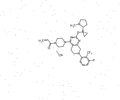 C=CC(=O)N1CCN(c2nc(OC3([C@@H]4CCCN4C)CC3)nc3c2CCN(c2cccc(F)c2C(F)(F)F)C3)C[C@@H]1CC#N